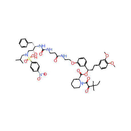 CCC(C)(C)C(=O)C(=O)N1CCCC[C@H]1C(=O)O[C@H](CCc1ccc(OC)c(OC)c1)c1cccc(OCCNC(=O)CCNC(=O)N[C@@H](Cc2ccccc2)[C@H](O)CN(CC(C)C)S(=O)(=O)c2ccc([N+](=O)[O-])cc2)c1